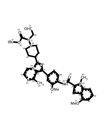 COc1cc(-c2nc(C3CCN(N(CC=O)C(=O)OC(C)(C)C)CC3)n3ccnc(C)c23)ccc1NC(=O)c1cc2c(OC)cccc2n1C